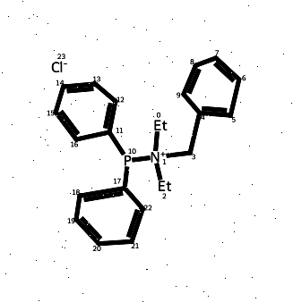 CC[N+](CC)(Cc1ccccc1)P(c1ccccc1)c1ccccc1.[Cl-]